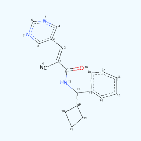 N#C/C(=C\c1cncnc1)C(=O)NC(c1ccccc1)C1CCC1